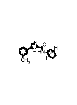 Cc1cccc(-c2cnc(C(=O)N[C@@H]3C[C@H]4CC[C@@H]3N4)o2)c1